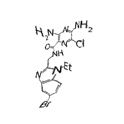 CCn1c(CNC(=O)c2nc(Cl)c(N)nc2N)nc2cc(Br)ccc21